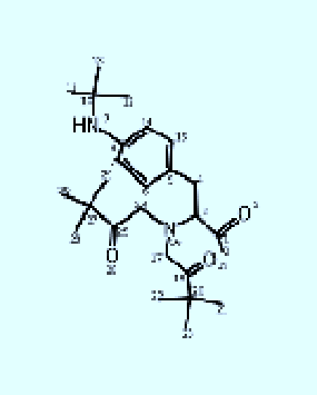 CC(=O)C(Cc1ccc(NC(C)(C)C)cc1)N(CC(=O)C(C)(C)C)CC(=O)C(C)(C)C